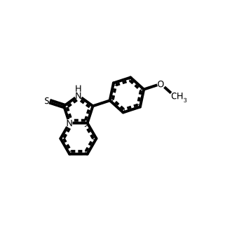 COc1ccc(-c2[nH]c(=S)n3ccccc23)cc1